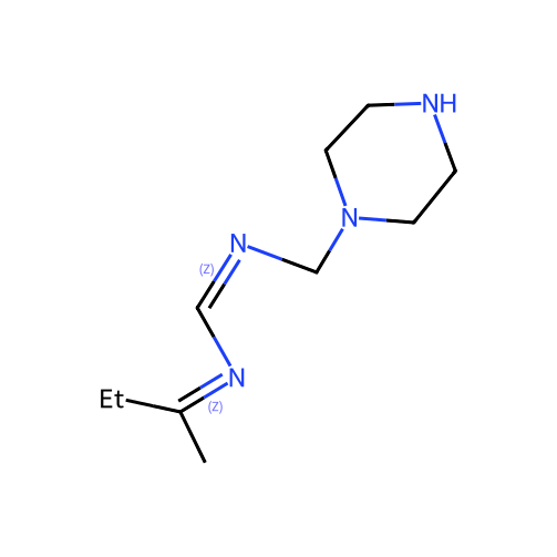 CC/C(C)=N\C=N/CN1CCNCC1